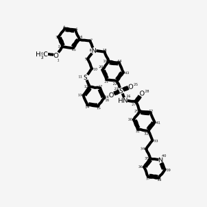 COc1cccc(CN(CCSc2ccccc2)Cc2ccc(S(=O)(=O)NC(=O)c3ccc(CCc4ccccn4)cc3)cc2)c1